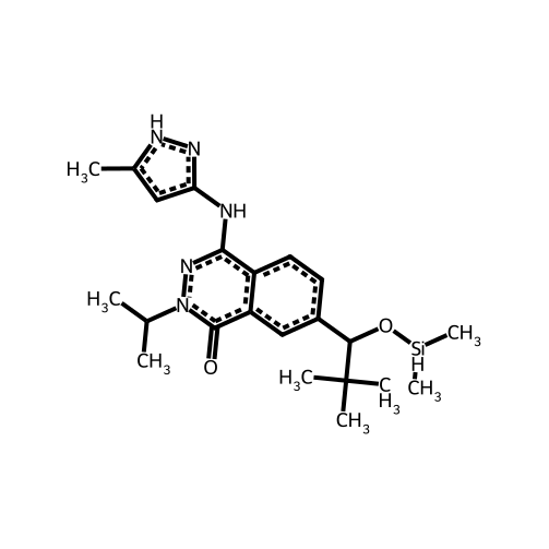 Cc1cc(Nc2nn(C(C)C)c(=O)c3cc(C(O[SiH](C)C)C(C)(C)C)ccc23)n[nH]1